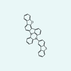 c1ccc2c(c1)N(c1ccc3sc4ccccc4c3c1)c1cccc3c4c5oc6ccccc6c5ccc4n-2c13